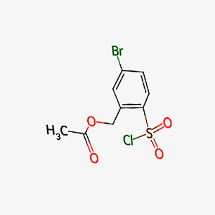 CC(=O)OCc1cc(Br)ccc1S(=O)(=O)Cl